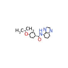 CC(C)Oc1ccc(C(=O)Nc2cccc3nccnc23)cc1